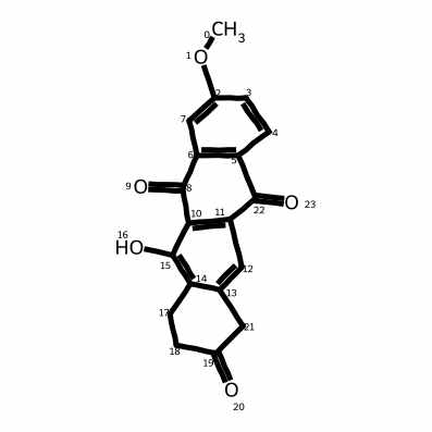 COc1ccc2c(c1)C(=O)c1c(cc3c(c1O)CCC(=O)C3)C2=O